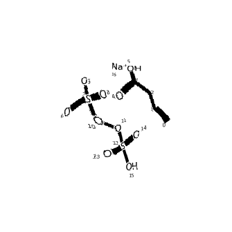 C=CCC(=O)O.O=S(=O)([O-])OOS(=O)(=O)O.[Na+]